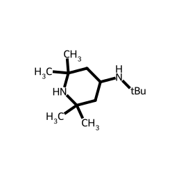 CC(C)(C)NC1CC(C)(C)NC(C)(C)C1